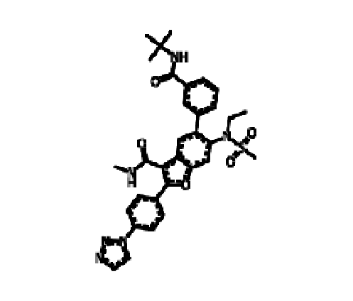 CCN(c1cc2oc(-c3ccc(-n4ccnn4)cc3)c(C(=O)NC)c2cc1-c1cccc(C(=O)NC(C)(C)C)c1)S(C)(=O)=O